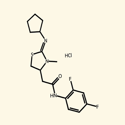 CN1C(=NC2CCCC2)SCC1CC(=O)Nc1ccc(F)cc1F.Cl